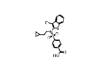 O=C(O)c1ccc(S(=O)(=O)N(CCC2CC2)c2sc3ccccc3c2Cl)cc1